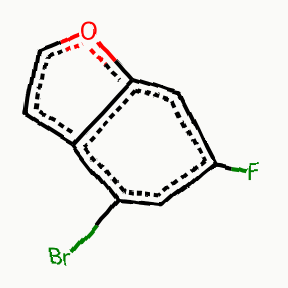 Fc1cc(Br)c2ccoc2c1